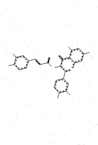 COc1cc(C=CC(=O)Oc2c(-c3ccc(O)c(O)c3)oc3cc(O)cc(O)c3c2=O)ccc1O